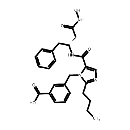 CCCCc1ncc(C(=O)N[C@@H](CC(=O)NO)Cc2ccccc2)n1Cc1cccc(C(=O)O)c1